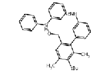 CC(=O)Nc1cccc(-c2c(CO[SiH](c3ccccc3)c3ccccc3)cc(C)c(C(C)(C)C)c2C)c1